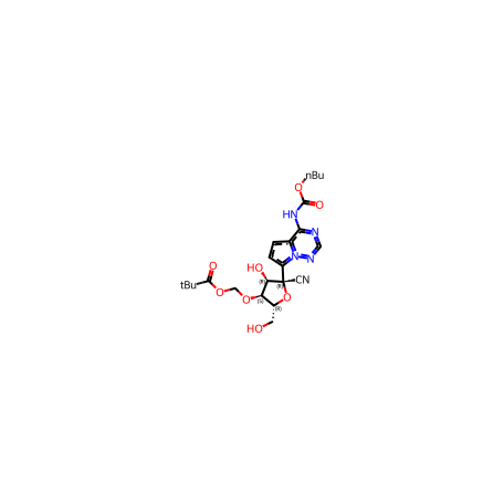 CCCCOC(=O)Nc1ncnn2c([C@]3(C#N)O[C@H](CO)[C@@H](OCOC(=O)C(C)(C)C)[C@H]3O)ccc12